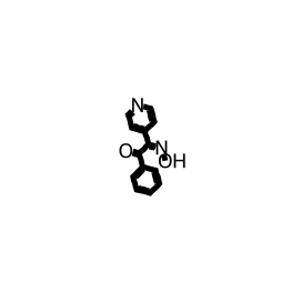 O=C(/C(=N\O)c1ccncc1)c1ccccc1